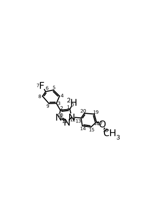 [2H]c1c(-c2ccc(F)cc2)nnn1-c1ccc(OC)cc1